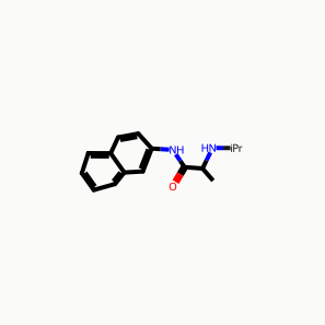 CC(C)NC(C)C(=O)Nc1ccc2ccccc2c1